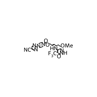 COCCC(/C=C/COC(=O)N1CCN(c2ncc(C#N)cn2)CC1)Nc1cn[nH]c(=O)c1C(F)(F)F